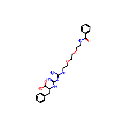 N=C(/N=C(\N)NCCOCCOCCNC(=O)c1ccccc1)N[C@@H](Cc1ccccc1)C(=O)O